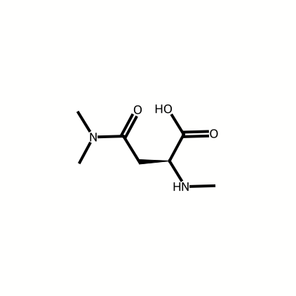 CN[C@@H](CC(=O)N(C)C)C(=O)O